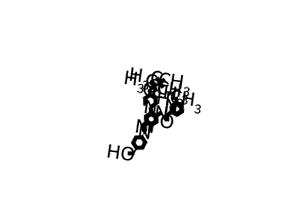 Cc1cccc(C(=O)Nc2cc3cn([C@H]4CC[C@H](CO)CC4)nc3cc2N2CCC(O[Si](C)(C)C(C)(C)C)CC2)n1